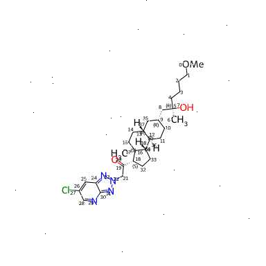 COCCCC[C@@](C)(O)C[C@@H]1CC[C@@H]2[C@H](CC[C@]3(C)[C@@H](C(=O)Cn4nc5cc(Cl)cnc5n4)CC[C@@H]23)C1